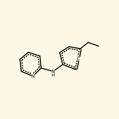 C[CH]c1ccc(Nc2ccccn2)cc1